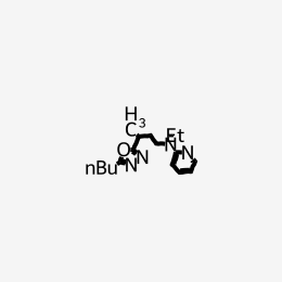 CCCCc1nnc(C(C)CCN(CC)c2ccccn2)o1